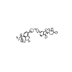 CS(=O)(=O)c1ccc(N2CCC(CN3CCN(c4ccc5c(c4)C(=O)N(C4CCC(=O)NC4=O)C5=O)CC3)CC2)c2c1[C@H](O)C(F)C2